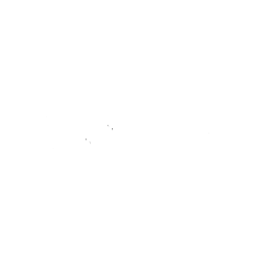 CCS(=O)(=O)n1ccc(-c2ccc(C)cc2)n1